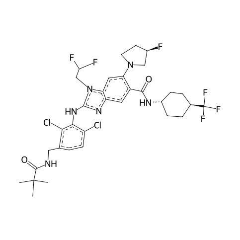 CC(C)(C)C(=O)NCc1ccc(Cl)c(Nc2nc3cc(C(=O)N[C@H]4CC[C@H](C(F)(F)F)CC4)c(N4CC[C@@H](F)C4)cc3n2CC(F)F)c1Cl